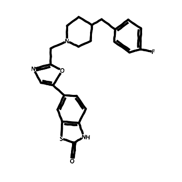 O=c1[nH]c2ccc(-c3cnc(CN4CCC(Cc5ccc(F)cc5)CC4)o3)cc2s1